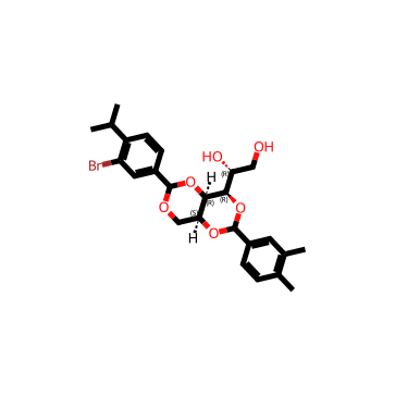 Cc1ccc(C2O[C@H]([C@H](O)CO)[C@@H]3OC(c4ccc(C(C)C)c(Br)c4)OC[C@@H]3O2)cc1C